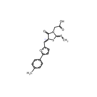 C=S=C1S/C(=C\c2ccc(-c3ccc(C)cc3)o2)C(=O)N1CC(=O)O